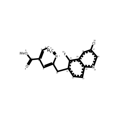 C=N/C(=C\C(=C/C)C(=O)OC)Cc1ccc2ncc(Cl)cc2c1F